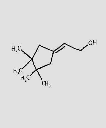 CC1(C)CC(=CCO)CC1(C)C